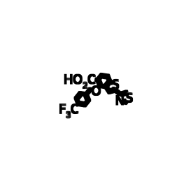 O=C(O)c1ccc2sc(-c3cscn3)cc2c1OCc1ccc(C(F)(F)F)cc1